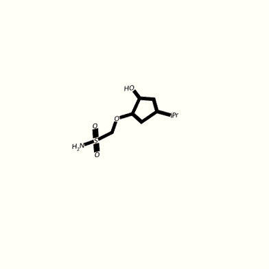 CC(C)C1CC(O)C(OCS(N)(=O)=O)C1